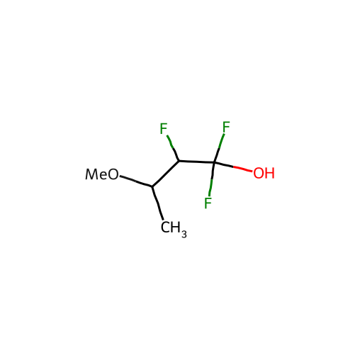 COC(C)C(F)C(O)(F)F